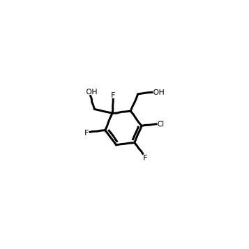 OCC1C(Cl)=C(F)C=C(F)C1(F)CO